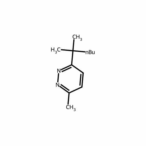 CCCCC(C)(C)c1ccc(C)nn1